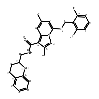 Cc1cc(OCc2c(F)cccc2F)n2nc(C)c(C(=O)NCC3CCc4ccccc4N3)c2c1